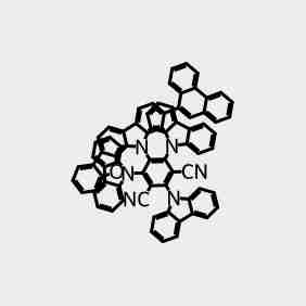 N#Cc1c(-n2c3ccccc3c3ccccc32)c(C#N)c(-n2c3ccccc3c3ccccc32)c(-n2c3cc(-c4cc5ccccc5c5ccccc45)ccc3c3ccc4c5ccccc5oc4c32)c1-n1c2ccccc2c2ccccc21